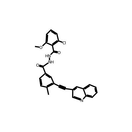 COc1cccc(Cl)c1C(=O)NNC(=O)c1ccc(C)c(C#Cc2cnc3ccccc3c2)c1